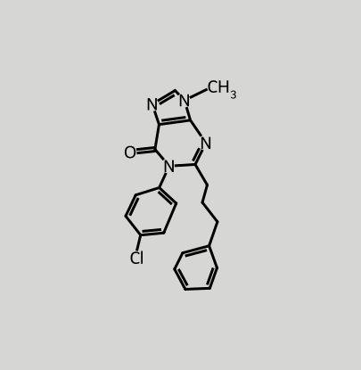 Cn1cnc2c(=O)n(-c3ccc(Cl)cc3)c(CCCc3ccccc3)nc21